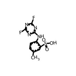 Cc1ccc(Nc2nc(F)nc(F)n2)c(S(=O)(=O)O)c1